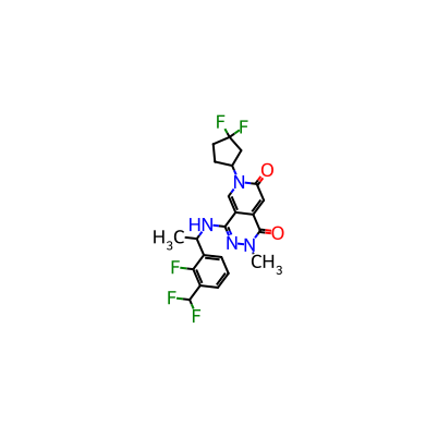 CC(Nc1nn(C)c(=O)c2cc(=O)n(C3CCC(F)(F)C3)cc12)c1cccc(C(F)F)c1F